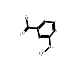 [O]C(=O)c1cccc(SC(F)(F)F)c1